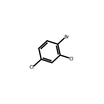 Clc1[c]cc(Br)c(Cl)c1